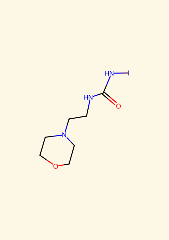 O=C(NI)NCCN1CCOCC1